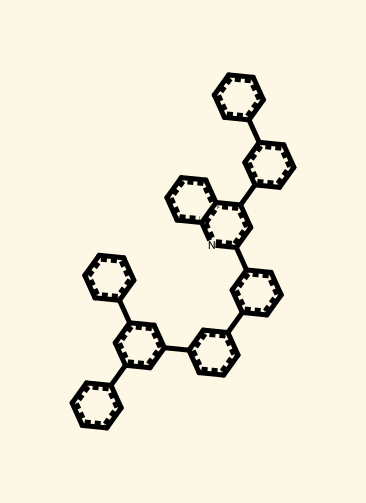 c1ccc(-c2cc(-c3ccccc3)cc(-c3cccc(-c4cccc(-c5cc(-c6cccc(-c7ccccc7)c6)c6ccccc6n5)c4)c3)c2)cc1